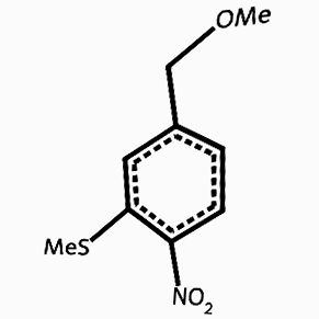 COCc1ccc([N+](=O)[O-])c(SC)c1